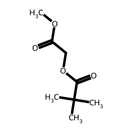 COC(=O)COC(=O)C(C)(C)C